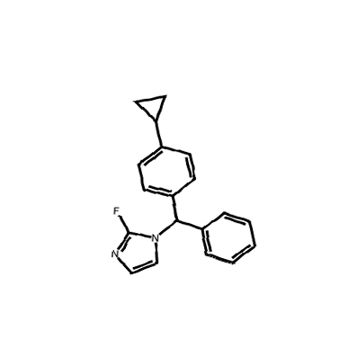 Fc1nccn1C(c1ccccc1)c1ccc(C2CC2)cc1